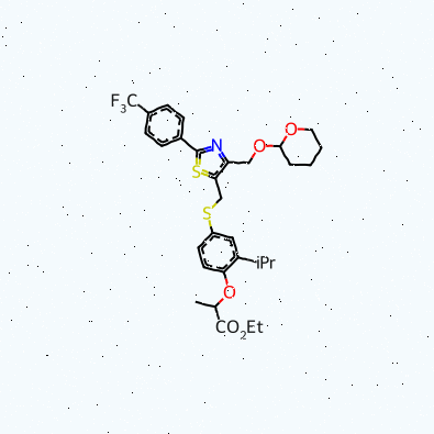 CCOC(=O)C(C)Oc1ccc(SCc2sc(-c3ccc(C(F)(F)F)cc3)nc2COC2CCCCO2)cc1C(C)C